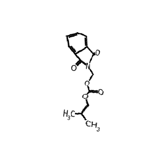 CC(C)COC(=O)OCN1C(=O)c2ccccc2C1=O